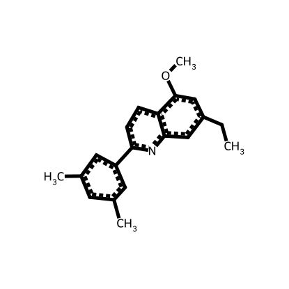 CCc1cc(OC)c2ccc(-c3cc(C)cc(C)c3)nc2c1